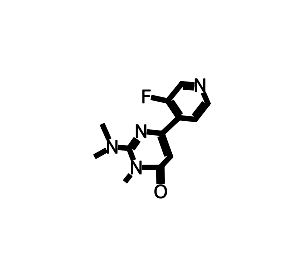 CN(C)c1nc(-c2ccncc2F)cc(=O)n1C